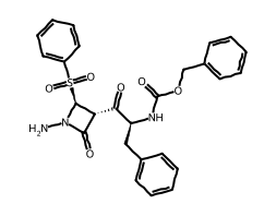 NN1C(=O)[C@@H](C(=O)[C@H](Cc2ccccc2)NC(=O)OCc2ccccc2)[C@@H]1S(=O)(=O)c1ccccc1